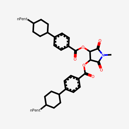 CCCCCC1CCC(c2ccc(C(=O)OC3C(=O)N(C)C(=O)C3OC(=O)c3ccc(C4CCC(CCCCC)CC4)cc3)cc2)CC1